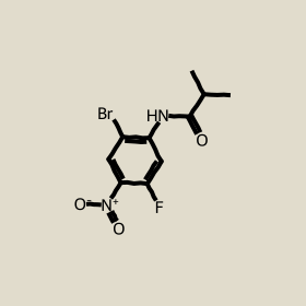 CC(C)C(=O)Nc1cc(F)c([N+](=O)[O-])cc1Br